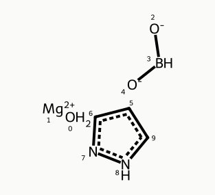 O.[Mg+2].[O-]B[O-].c1cn[nH]c1